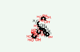 C[C@@H](CC[C@@]1(O)O[C@H]2CC3(O[C@@H]4O[C@H](CO)[C@@H](O)[C@H](O[C@@H]5O[C@H](CO)[C@@H](O)[C@H](O)[C@H]5O)[C@H]4O)[C@@H]4CC[C@@H]5C[C@@H](O)CC[C@]5(C)[C@H]4CC[C@]3(C)[C@H]2[C@@H]1C)CO[C@@H]1O[C@H](CO)[C@H](O)[C@H](O)[C@H]1O